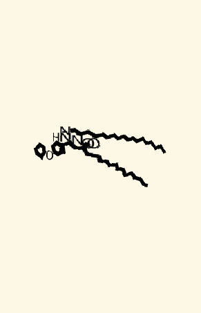 CCCCCCCCCCCCCCC(=O)CC1=NC(CC(=O)CCCCCCCCCCCCCC)(c2ccc(Oc3ccccc3)cc2)NN=C1